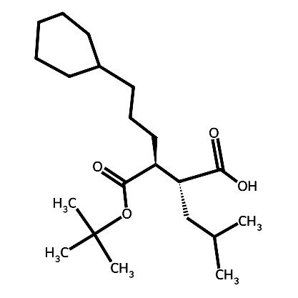 CC(C)C[C@@H](C(=O)O)[C@H](CCCC1CCCCC1)C(=O)OC(C)(C)C